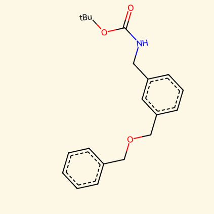 CC(C)(C)OC(=O)NCc1cccc(COCc2ccccc2)c1